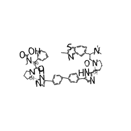 Cc1nc2cc(C(C(=O)N3CCC[C@H]3c3ncc(-c4ccc(-c5ccc(-c6cnc([C@@H]7CCCN7C(=O)[C@@H](c7ccccc7)N(C)C(=O)O)[nH]6)cc5)cc4)[nH]3)N(C)C)ccc2s1